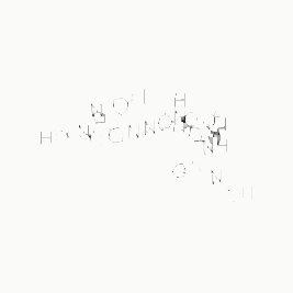 Cc1c(C(=O)N2CCC(C)(O)CC2)c(-c2cccc(N3CCN(c4ccc(NS(=O)(=O)c5ccc(NC(CCN6CCC(O)CC6)CSc6ccccc6)c(S(=O)(=O)C(F)(F)F)c5)cc4)CC3)c2)c(-c2ccc(Cl)cc2)n1C